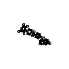 O=S(=O)(c1ccc(Nc2ccnc3cc(Cl)ccc23)cc1)N1CCN(c2c(Cl)c(Cl)nc(Cl)c2Cl)CC1